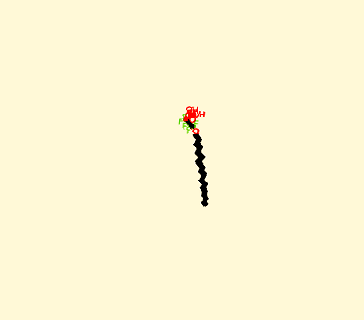 CCCCCCCCCCCCCCCCCCOC(F)(F)C(F)(OP(=O)(O)O)C(F)F